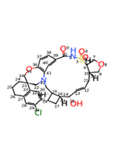 O=C1NS(=O)(=O)[C@@H]2COC[C@@H]2C/C=C/[C@H](O)[C@@H]2CC[C@H]2CN2C[C@@]3(CCCc4cc(Cl)ccc43)COc3ccc1cc32